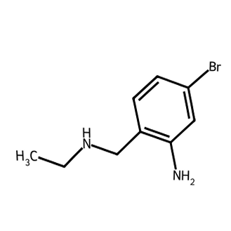 CCNCc1ccc(Br)cc1N